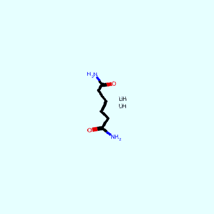 NC(=O)CCCCC(N)=O.[LiH].[LiH]